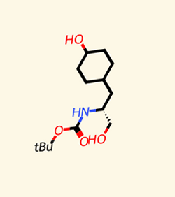 CC(C)(C)OC(=O)N[C@@H](CO)CC1CCC(O)CC1